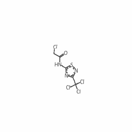 O=C(CCl)Nc1nc(C(Cl)(Cl)Cl)ns1